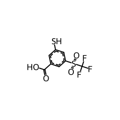 O=C(O)c1cc(S)cc(S(=O)(=O)C(F)(F)F)c1